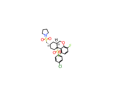 O=S(=O)(C[C@H]1CC[C@]2(S(=O)(=O)c3ccc(Cl)cc3)c3c(F)ccc(F)c3OC[C@@H]2C1)N1CCCC1